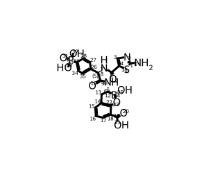 Nc1ncc(C(=O)N[C@H](C(=O)N[C@H]2Cc3cccc(C(=O)O)c3OB2O)c2ccc(P(=O)(O)O)cc2)s1